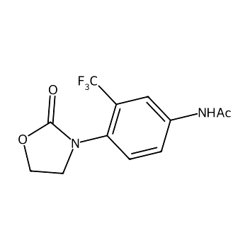 CC(=O)Nc1ccc(N2CCOC2=O)c(C(F)(F)F)c1